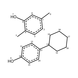 Cc1ccc(C)c(O)c1.Oc1ccc(C2CCCCC2)cc1